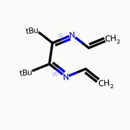 C=C/N=C(\C(=N/C=C)C(C)(C)C)C(C)(C)C